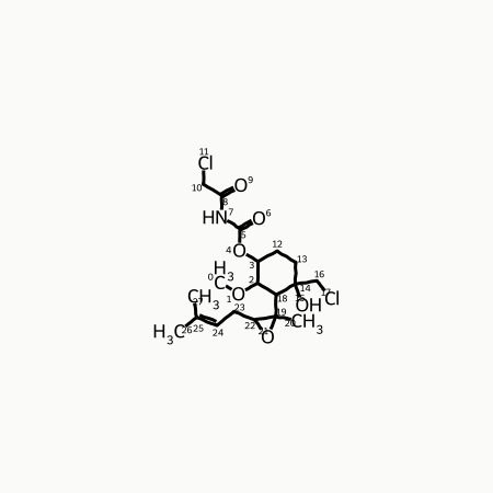 COC1C(OC(=O)NC(=O)CCl)CCC(O)(CCl)C1C1(C)OC1CC=C(C)C